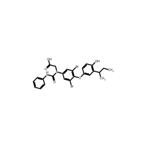 CCC(C)c1cc(Oc2c(Br)cc(N(CC(=O)O)C(=O)Nc3ccccc3)cc2Br)ccc1O